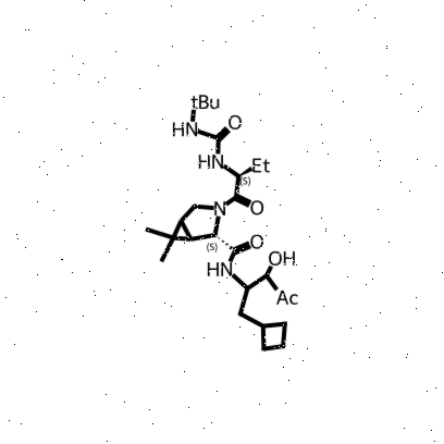 CC[C@H](NC(=O)NC(C)(C)C)C(=O)N1CC2C([C@H]1C(=O)NC(CC1CCC1)C(O)C(C)=O)C2(C)C